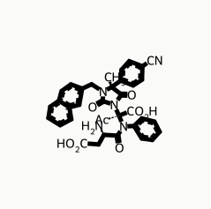 CC(=O)[C@@](C(=O)O)(N1C(=O)N(Cc2ccc3ccccc3c2)[C@](C)(c2ccc(C#N)cc2)C1=O)N(C(=O)[C@@H](N)CC(=O)O)c1ccccc1